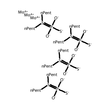 CCCCCS(CCCCC)=P([O-])([O-])[S-].CCCCCS(CCCCC)=P([O-])([O-])[S-].CCCCCS(CCCCC)=P([O-])([O-])[S-].CCCCCS(CCCCC)=P([O-])([O-])[S-].[Mo+4].[Mo+4].[Mo+4]